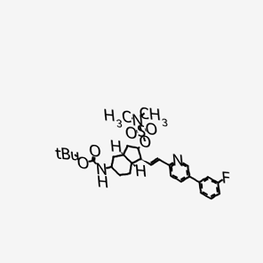 CN(C)S(=O)(=O)O[C@H]1C[C@@H]2CC(NC(=O)OC(C)(C)C)CC[C@H]2[C@@H]1/C=C/c1ccc(-c2cccc(F)c2)cn1